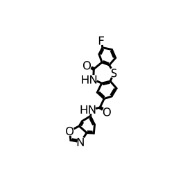 O=C(Nc1ccc2ncoc2c1)c1ccc2c(c1)NC(=O)c1cc(F)ccc1S2